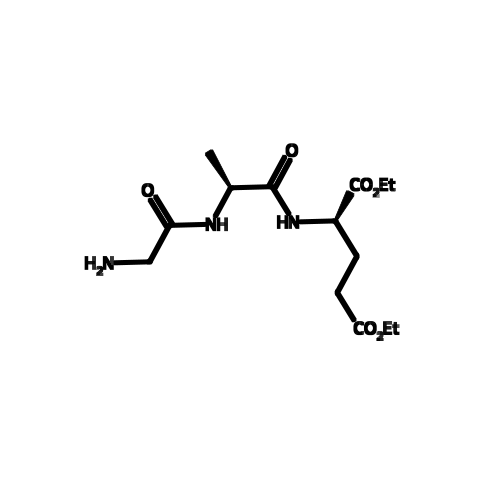 CCOC(=O)CC[C@@H](NC(=O)[C@H](C)NC(=O)CN)C(=O)OCC